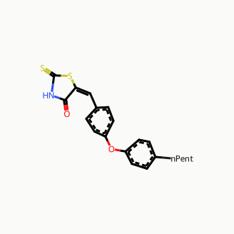 CCCCCc1ccc(Oc2ccc(/C=C3/SC(=S)NC3=O)cc2)cc1